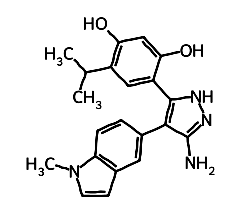 CC(C)c1cc(-c2[nH]nc(N)c2-c2ccc3c(ccn3C)c2)c(O)cc1O